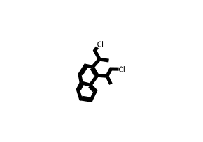 CC(CCl)c1ccc2ccccc2c1C(C)CCl